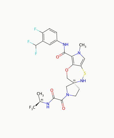 C[C@@H](NC(=O)C(=O)N1CC[C@@]2(COc3c(cn(C)c3C(=O)Nc3ccc(F)c(C(F)F)c3)SN2)C1)C(F)(F)F